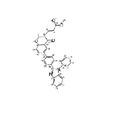 COC(=O)CCc1coc2ccc(-c3ccc(-c4nc5ccccc5n4-c4ccccc4)cc3)cc2c1=O